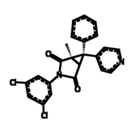 C[C@@]12C(=O)N(c3cc(Cl)cc(Cl)c3)C(=O)C1[C@]2(c1ccccc1)c1ccncc1